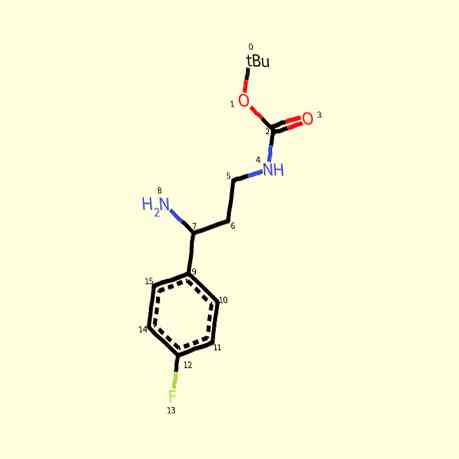 CC(C)(C)OC(=O)NCCC(N)c1ccc(F)cc1